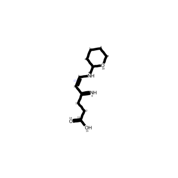 N=C(/C=C\NC1CCCCO1)CCC(=O)O